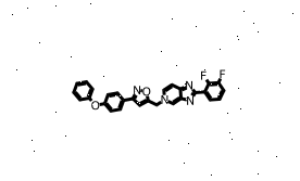 Fc1cccc(-c2nc3ccn(Cc4cc(-c5ccc(Oc6ccccc6)cc5)no4)cc-3n2)c1F